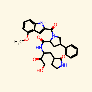 COc1cccc2[nH]c(C(=O)N3CC(c4ccccc4)CC3C(=O)NC(CC3CCNC3=O)C(=O)CO)cc12